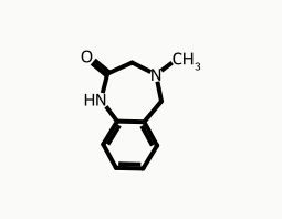 CN1CC(=O)Nc2ccccc2C1